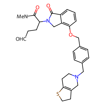 CNC(=O)C(CCC=O)N1Cc2c(OCc3ccc(CN4CCC5=C(CCS5)C4)cc3)cccc2C1=O